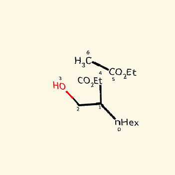 CCCCCCC(CO)C(=O)OCC.CCOC(C)=O